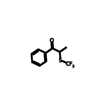 CC(SC(F)(F)F)C(=O)c1ccccc1